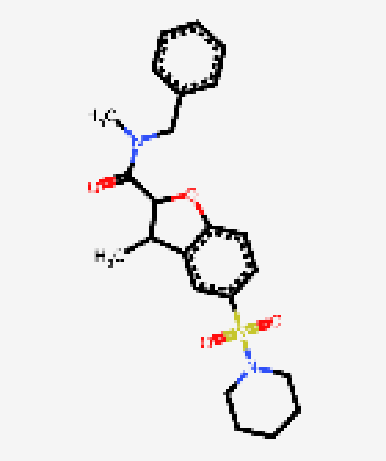 CC1c2cc(S(=O)(=O)N3CCCCC3)ccc2OC1C(=O)N(C)Cc1ccccc1